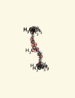 Cc1cc(OC(=O)c2ccc(OCCCCCCO[Si](C(C)C)(C(C)C)C(C)C)cc2)ccc1OC(=O)/C=C/c1ccc(OCCCCCCO[Si](C(C)C)(C(C)C)C(C)C)cc1